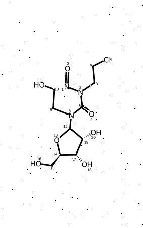 O=NN(CCCl)C(=O)N(CCO)C1O[C@H](CO)[C@@H](O)[C@H]1O